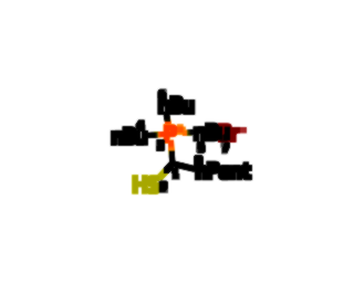 CCCCCC(S)[P+](CCCC)(CCCC)CCCC.[Br-]